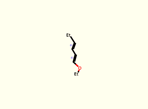 [CH2]CO/C=C/C=C/CC